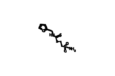 NS(=O)(=O)CCSC(=S)NCc1ccco1